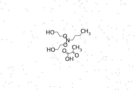 CC(=O)C(=O)O.CCCCN(OCCO)OCCO